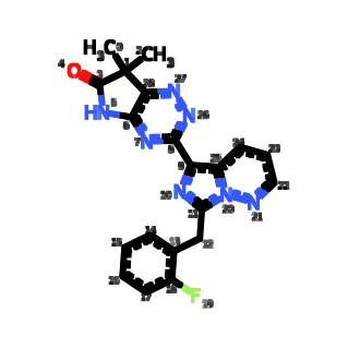 CC1(C)C(=O)Nc2nc(-c3nc(Cc4ccccc4F)n4ncccc34)nnc21